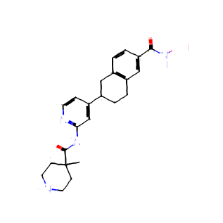 CC1(C(=O)Nc2cc(C3CCc4cc(C(=O)NO)ccc4C3)ccn2)CCNCC1